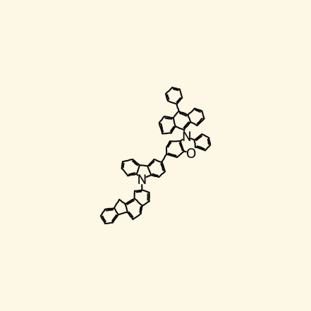 c1ccc(-c2c3ccccc3c(N3c4ccccc4Oc4cc(-c5ccc6c(c5)c5ccccc5n6-c5ccc6ccc7c(c6c5)Cc5ccccc5-7)ccc43)c3ccccc23)cc1